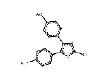 CSc1ccc(-c2nc(S)sc2-c2ccc(SC)cc2)cc1